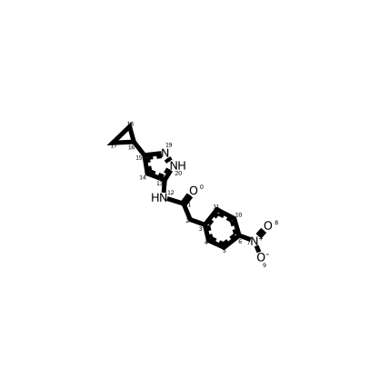 O=C(Cc1ccc([N+](=O)[O-])cc1)Nc1cc(C2CC2)n[nH]1